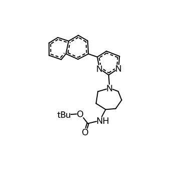 CC(C)(C)OC(=O)NC1CCCN(c2nccc(-c3ccc4ccccc4c3)n2)CC1